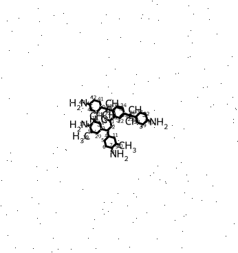 CC(CC(C1CCC(N)C(C)C1)C1CC(C)C(N)C(C)C1)c1cc(C(C)(C)C2CCC(N)CC2)ccc1C(C)(C)C1CCC(N)CC1